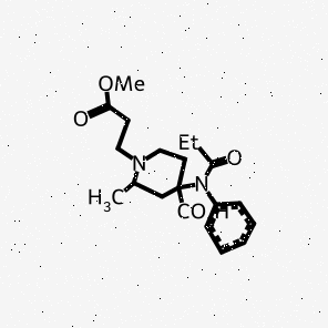 CCC(=O)N(c1ccccc1)C1(C(=O)O)CCN(CCC(=O)OC)C(C)C1